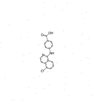 O=C(O)c1ccc(Nc2nccc3c(Cl)cccc23)cc1